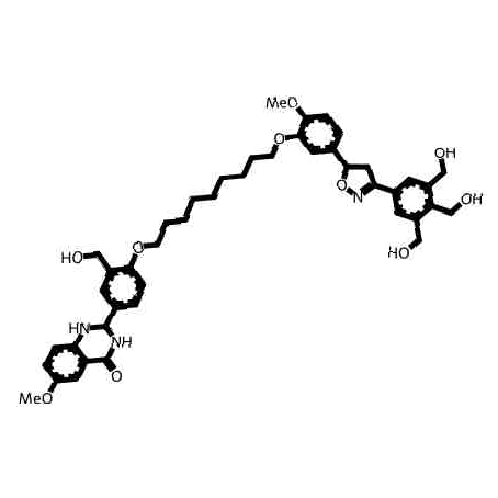 COc1ccc2c(c1)C(=O)NC(c1ccc(OCCCCCCCCCOc3cc(C4CC(c5cc(CO)c(CO)c(CO)c5)=NO4)ccc3OC)c(CO)c1)N2